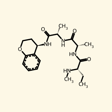 CC[C@H](NC)C(=O)N[C@@H](C)C(=O)N[C@@H](C)C(=O)N[C@@H]1CCOc2ccccc21